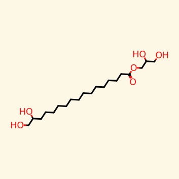 O=C(CCCCCCCCCCCCCCC(O)CO)OCC(O)CO